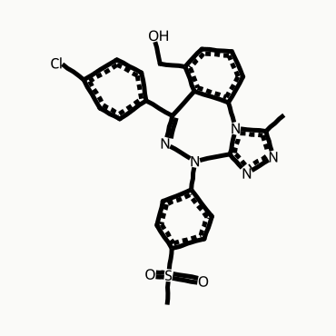 Cc1nnc2n1-c1cccc(CO)c1C(c1ccc(Cl)cc1)=NN2c1ccc(S(C)(=O)=O)cc1